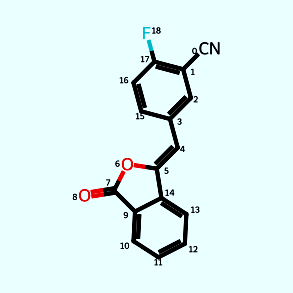 N#Cc1cc(/C=C2\OC(=O)c3ccccc32)ccc1F